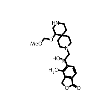 COCOC1CNCCC12CCN(C[C@H](O)c1ccc3c(c1C)COC3=O)CC2